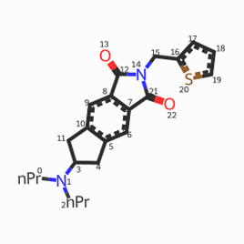 CCCN(CCC)C1Cc2cc3c(cc2C1)C(=O)N(Cc1cccs1)C3=O